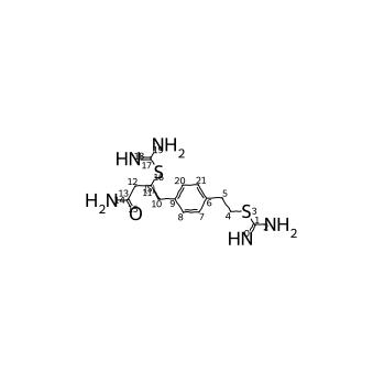 N=C(N)SCCc1ccc(C[C@@H](CC(N)=O)SC(=N)N)cc1